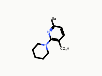 CC(C)(C)c1ccc(C(=O)O)c(N2CCCCC2)n1